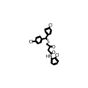 O=C(CSC(c1ccc(Cl)cc1)c1ccc(Cl)cc1)CC(=O)Nc1ccccc1Cl